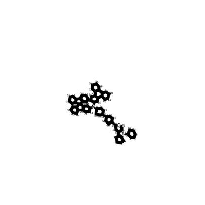 c1ccc(-n2c3ccccc3c3cc(-c4ccc(-c5ccc(N(c6ccc7c(c6)C6(c8ccccc8-c8ccccc86)c6ccccc6-7)c6ccc7c8ccccc8c8ccccc8c7c6)cc5)cc4)ccc32)cc1